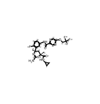 C[C@]1(C(=O)NC2CC2)C[C@@](C)(c2cc(NC(=O)c3cnc(OCC(F)(F)F)cn3)ccc2F)N=C(N)S1